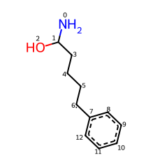 NC(O)CCC[CH]c1ccccc1